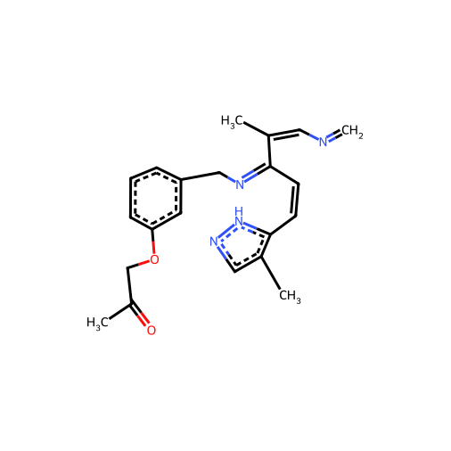 C=N/C=C(/C)C(/C=C\c1[nH]ncc1C)=NCc1cccc(OCC(C)=O)c1